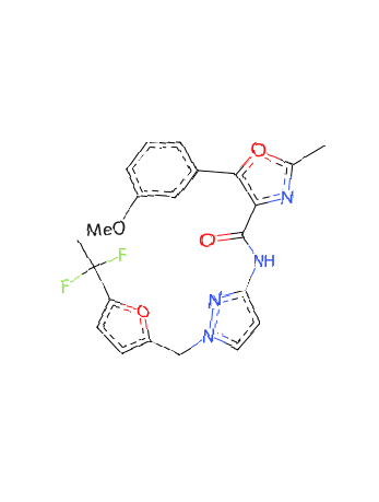 COc1cccc(-c2oc(C)nc2C(=O)Nc2ccn(Cc3ccc(C(C)(F)F)o3)n2)c1